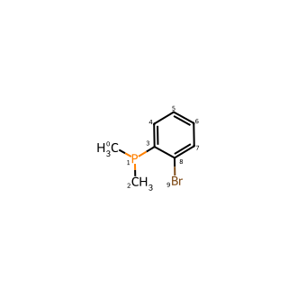 CP(C)c1ccccc1Br